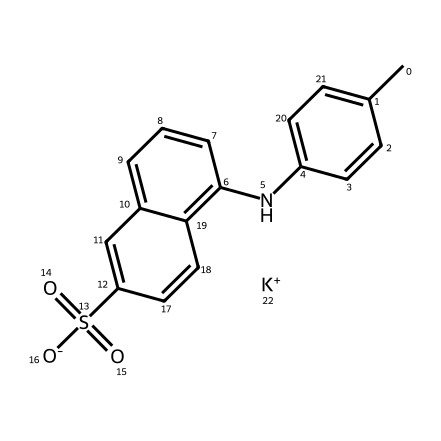 Cc1ccc(Nc2cccc3cc(S(=O)(=O)[O-])ccc23)cc1.[K+]